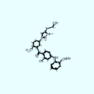 COc1ccccc1Nc1ccc(C(=O)c2cc(-n3cc(CCO)nn3)ccc2C)c(Cl)c1